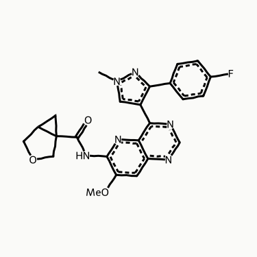 COc1cc2ncnc(-c3cn(C)nc3-c3ccc(F)cc3)c2nc1NC(=O)C12COCC1C2